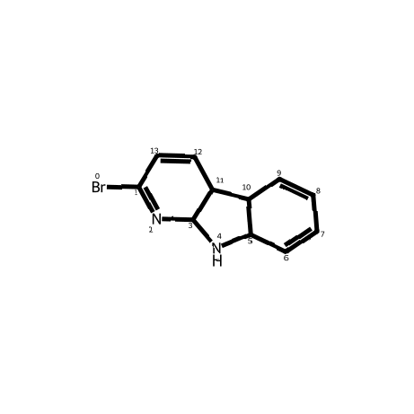 BrC1=NC2NC3C=CC=CC3C2C=C1